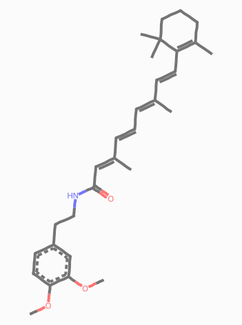 COc1ccc(CCNC(=O)/C=C(C)/C=C/C=C(C)/C=C/C2=C(C)CCCC2(C)C)cc1OC